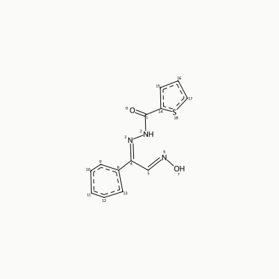 O=C(NN=C(C=NO)c1ccccc1)c1cccs1